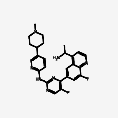 CC(N)c1ccnc2c(F)cc(-c3nc(Nc4ccc(C5CCN(C)CC5)cn4)ncc3F)cc12